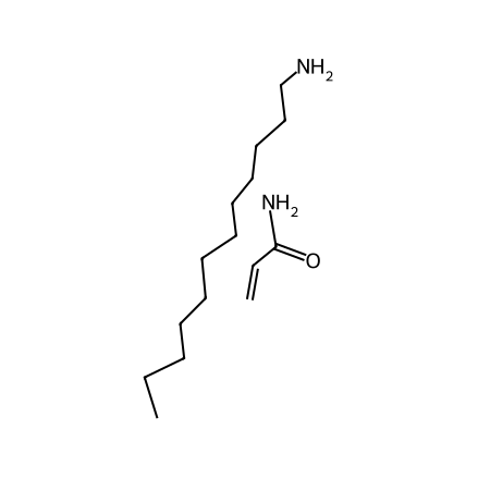 C=CC(N)=O.CCCCCCCCCCCCN